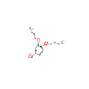 ClCCCOc1ccc(Br)cc1OCCCCl